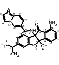 CC(C)c1ccc2c(c1)OC1(O)c3cccc(N)c3C(=O)C21NC(=O)c1ccc2nccn2c1